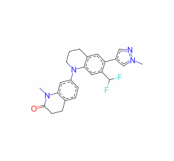 CN1C(=O)CCc2ccc(N3CCCc4cc(-c5cnn(C)c5)c(C(F)F)cc43)cc21